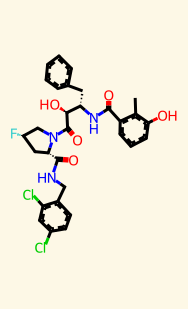 Cc1c(O)cccc1C(=O)N[C@@H](Cc1ccccc1)[C@H](O)C(=O)N1C[C@@H](F)C[C@H]1C(=O)NCc1ccc(Cl)cc1Cl